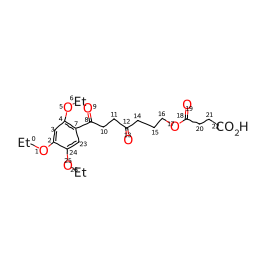 CCOc1cc(OCC)c(C(=O)CCC(=O)CCCOC(=O)CCC(=O)O)cc1OCC